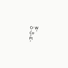 [Co].[Cr].[Pt].[W]